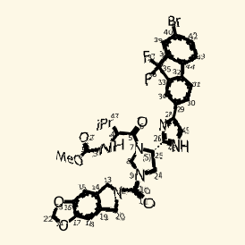 COC(=O)NC(C(=O)N1CN(C(=O)N2Cc3cc4c(cc3C2)OCO4)C[C@H]1c1nc(-c2ccc3c(c2)C(F)(F)c2cc(Br)ccc2-3)c[nH]1)C(C)C